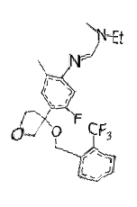 CCN(C)C=Nc1cc(F)c(C2(OCc3ccccc3C(F)(F)F)COC2)cc1C